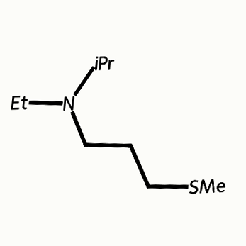 [CH2]SCCCN(CC)C(C)C